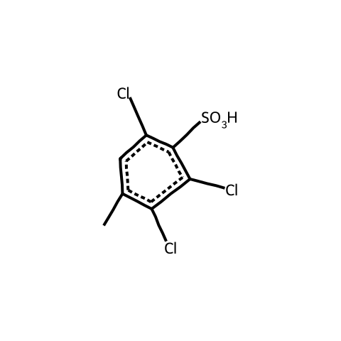 Cc1cc(Cl)c(S(=O)(=O)O)c(Cl)c1Cl